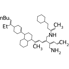 C=C/C=C(CN)/C(=C/C=C(\C)C1CCC(C2=CCC(/C(=C/CCCC)CC)CC2)C2CCCCC12)CN/C(=C/C)CCC1CCCCC1